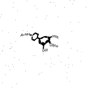 COc1cc(C2CCN(NC(C)=O)CC2)cc(OC)c1OC